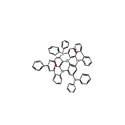 c1ccc(-c2ccnc(-c3ccccc3N3c4cc(N(c5ccccc5)c5ccccc5)cc5c4B4c6c(cccc6S(c6ccccc6)(c6ccccc6)c6cccc3c64)N5c3ccccc3-c3ccccn3)c2)cc1